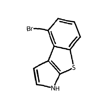 Brc1cccc2sc3[nH]ccc3c12